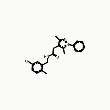 Cc1ccc(Cl)cc1CNC(=O)Cc1c(C)nn(-c2ccccc2)c1C